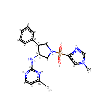 Cn1cnc(S(=O)(=O)N2C[C@H](Nc3nccc(C(F)(F)F)n3)[C@@H](c3ccccc3)C2)c1